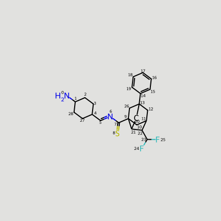 NC1CCC(/C=N/C(=S)C23CC4CC(c5ccccc5)(CC2C4C(F)F)C3)CC1